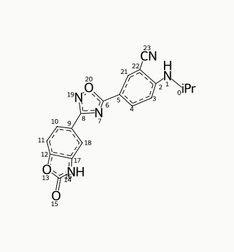 CC(C)Nc1ccc(-c2nc(-c3ccc4oc(=O)[nH]c4c3)no2)cc1C#N